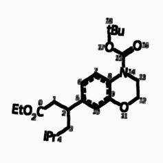 CCOC(=O)CC(CC(C)C)c1ccc2c(c1)OCCN2C(=O)OC(C)(C)C